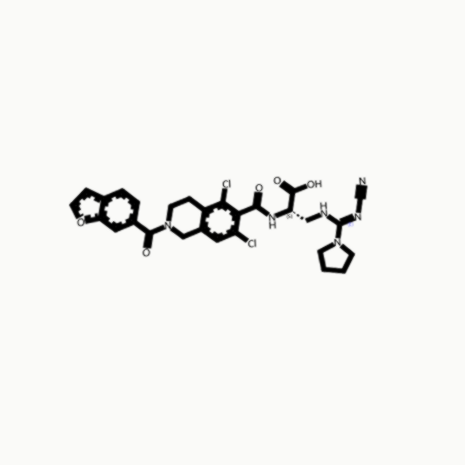 N#C/N=C(\NC[C@H](NC(=O)c1c(Cl)cc2c(c1Cl)CCN(C(=O)c1ccc3ccoc3c1)C2)C(=O)O)N1CCCC1